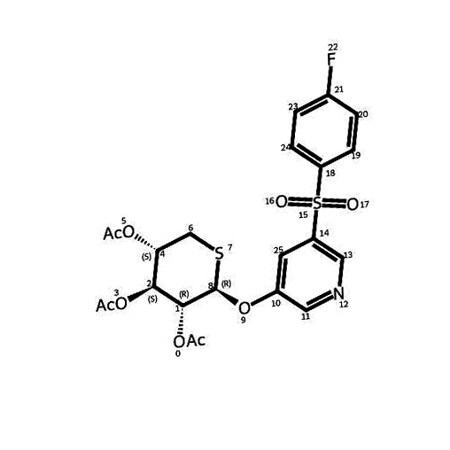 CC(=O)O[C@@H]1[C@@H](OC(C)=O)[C@H](OC(C)=O)CS[C@H]1Oc1cncc(S(=O)(=O)c2ccc(F)cc2)c1